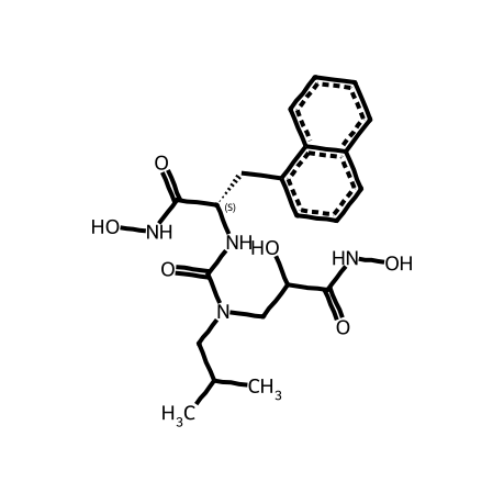 CC(C)CN(CC(O)C(=O)NO)C(=O)N[C@@H](Cc1cccc2ccccc12)C(=O)NO